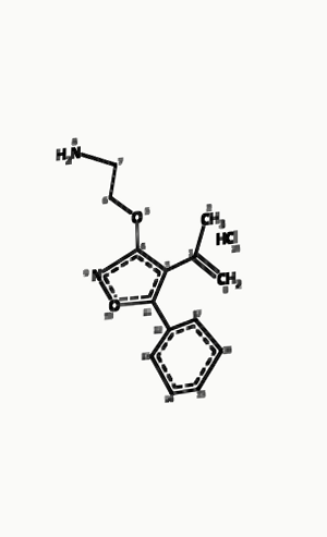 C=C(C)c1c(OCCN)noc1-c1ccccc1.Cl